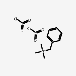 C[N+](C)(C)Cc1ccccc1.O=I(=O)Cl.O=I(=O)Cl